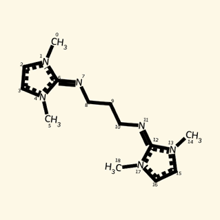 Cn1ccn(C)c1=NCCCN=c1n(C)ccn1C